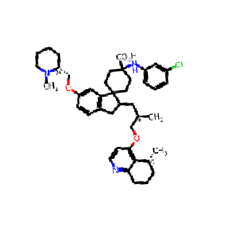 C[C@@H](COc1ccnc2c1[C@H](C)CCC2)CC1Cc2ccc(OC[C@H]3CCCCN3C)cc2C12CCC(Nc1cccc(Cl)c1)(C(=O)O)CC2